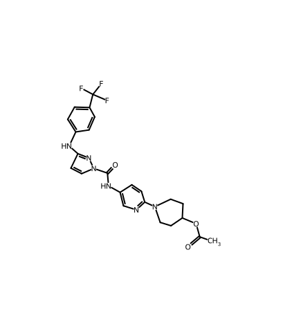 CC(=O)OC1CCN(c2ccc(NC(=O)n3ccc(Nc4ccc(C(F)(F)F)cc4)n3)cn2)CC1